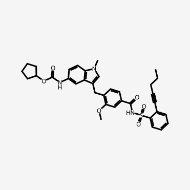 CCCC#Cc1ccccc1S(=O)(=O)NC(=O)c1ccc(Cc2cn(C)c3ccc(NC(=O)OC4CCCC4)cc23)c(OC)c1